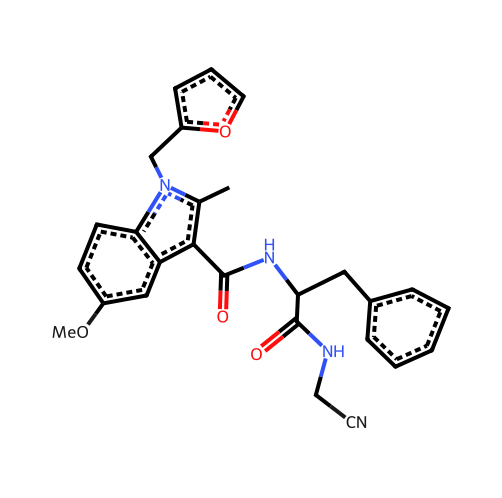 COc1ccc2c(c1)c(C(=O)NC(Cc1ccccc1)C(=O)NCC#N)c(C)n2Cc1ccco1